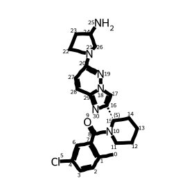 Cc1ccc(Cl)cc1C(=O)N1CCCC[C@H]1c1cn2nc(N3CCC(N)C3)ccc2n1